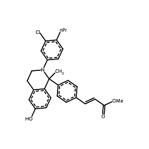 CCCc1ccc(N2CCc3cc(O)ccc3C2(C)c2ccc(/C=C/C(=O)OC)cc2)cc1Cl